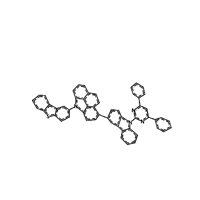 c1ccc(-c2cc(-c3ccccc3)nc(-n3c4ccccc4c4cc(-c5ccc6c7c5ccc5cccc(c57)n6-c5ccc6sc7ccccc7c6c5)ccc43)n2)cc1